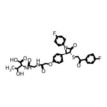 CC(O)[C@H](NC(=O)CNC(=O)COc1ccc([C@@H]2[C@@H](SCC(=O)c3ccc(F)cc3)C(=O)N2c2ccc(F)cc2)cc1)C(=O)O